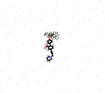 CC(C)(C)[Si](C)(C)Oc1ccc2c(c1)oc(=O)c1cc(C#CCN3CCCCC3)ccc12